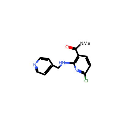 CNC(=O)c1ccc(Cl)nc1NCc1ccncc1